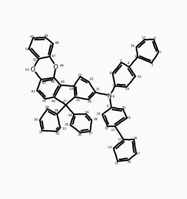 c1ccc(-c2ccc(N(c3ccc(-c4ccccc4)cc3)c3ccc4c(c3)C(c3ccccc3)(c3ccccc3)c3ccc5c(c3-4)Oc3ccccc3O5)cc2)cc1